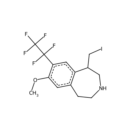 COc1cc2c(cc1C(F)(F)C(F)(F)F)C(CI)CNCC2